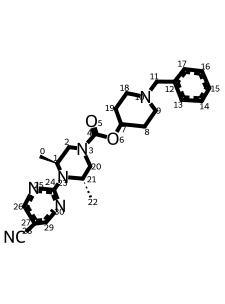 C[C@H]1CN(C(=O)OC2CCN(Cc3ccccc3)CC2)C[C@H](C)N1c1ncc(C#N)cn1